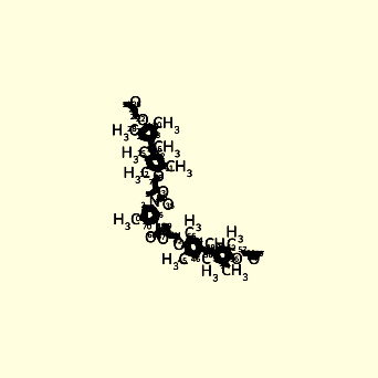 Cc1cc(N2CC(COc3c(C)cc(C(C)(C)c4cc(C)c(OCC5CO5)c(C)c4)cc3C)OC2=O)cc(N2CC(COc3c(C)cc(C(C)(C)c4cc(C)c(OCC5CO5)c(C)c4)cc3C)OC2=O)c1